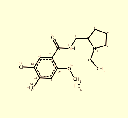 CCN1CCCC1CNC(=O)c1cc(Cl)c(C)cc1OC.Cl